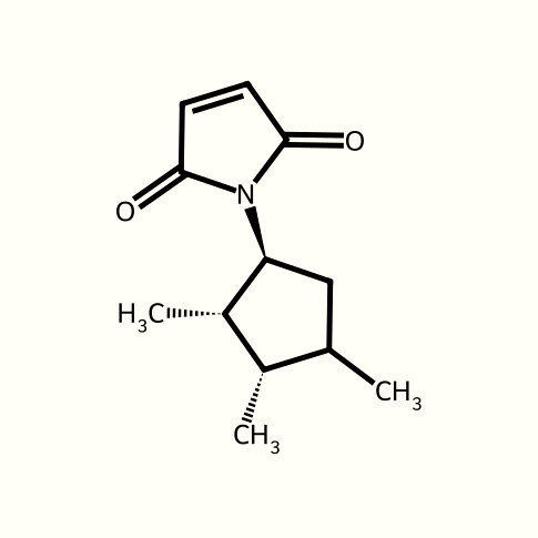 CC1C[C@H](N2C(=O)C=CC2=O)[C@@H](C)[C@H]1C